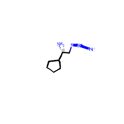 [N-]=[N+]=NC[C@@H](N)C1CCCC1